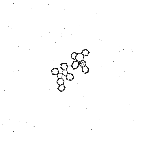 c1ccc2c(c1)-c1cccc3c1-c1cc(-c4cccc5c4-c4ccccc4C54c5ccccc5-c5cc6ccccc6cc54)ccc1Oc1c-2c-3cc2ccccc12